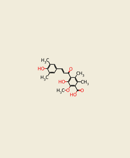 COc1c(O)c(C(=O)C=Cc2cc(C)c(O)c(C)c2)c(C)c(C)c1C(=O)O